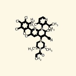 C=CC(=O)N1[C@H](C)CN(C2=C(C#N)C(O)N(c3c(C)ccnc3C(C)C)c3nc(-c4c(N)c(Cl)c(Cl)c(Cl)c4Cl)c(Cl)cc32)C[C@@H]1C